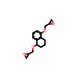 c1cc(OCC2CO2)c2c(c1)C(OCC1CO1)CCC2